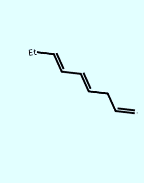 [CH]=CCC=CC=CC[CH2]